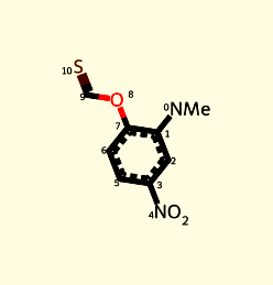 CNc1cc([N+](=O)[O-])ccc1OC=S